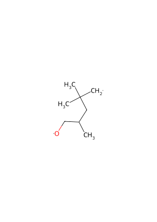 [CH2]C(C)(C)CC(C)C[O]